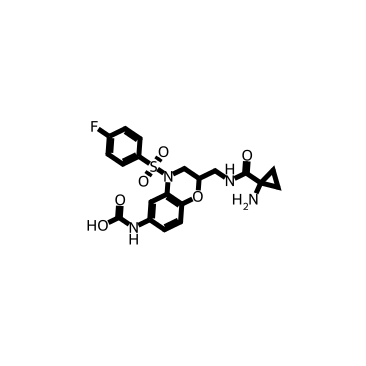 NC1(C(=O)NCC2CN(S(=O)(=O)c3ccc(F)cc3)c3cc(NC(=O)O)ccc3O2)CC1